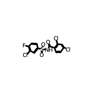 O=C(NS(=O)(=O)c1ccc(F)c(Cl)c1)c1ccc(Cl)cc1Cl